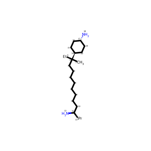 CCC(C)(CCCCCCCCC(N)C(C)C)[C@H]1CC[C@H](N)CC1